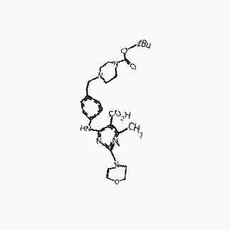 Cc1nc(N2CCOCC2)nc(Nc2ccc(CN3CCN(C(=O)OC(C)(C)C)CC3)cc2)c1C(=O)O